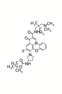 CN(C)CC(C)(C)CNC(=O)c1cn2c3c(c(N4CCC(NC(=O)OC(C)(C)C)C4)c(F)cc3c1=O)Oc1ccccc1-2